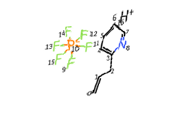 C=CCc1ccccn1.F[P-](F)(F)(F)(F)F.[H+]